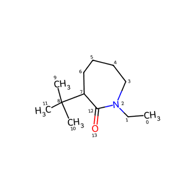 CCN1CCCCC(C(C)(C)C)C1=O